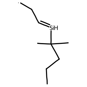 [CH2]CC=[SiH]C(C)(C)CCC